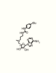 CN(CCCNC(=O)Nc1ccc(C(C)(C)C)cc1)C[C@H]1OC(n2cnc3c(N)ncnc32)[C@H](O)[C@@H]1O